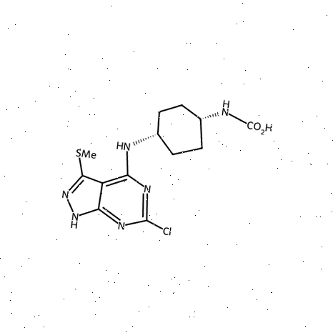 CSc1n[nH]c2nc(Cl)nc(N[C@H]3CC[C@@H](NC(=O)O)CC3)c12